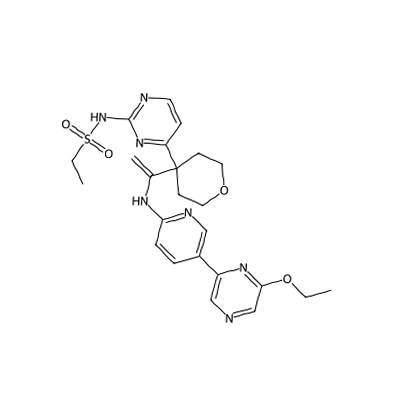 C=C(Nc1ccc(-c2cncc(OCC)n2)cn1)C1(c2ccnc(NS(=O)(=O)CC)n2)CCOCC1